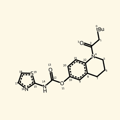 CC(C)(C)CC(=O)N1CCCc2cc(OC(=O)Nc3nccs3)ccc21